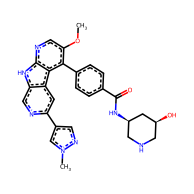 COc1cnc2[nH]c3cnc(-c4cnn(C)c4)cc3c2c1-c1ccc(C(=O)N[C@@H]2CNC[C@H](O)C2)cc1